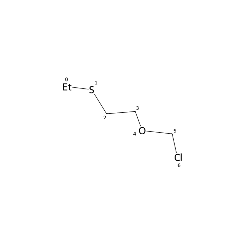 CCSCCOCCl